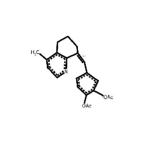 CC(=O)Oc1ccc(/C=C2/CCCc3c(C)ccnc32)cc1OC(C)=O